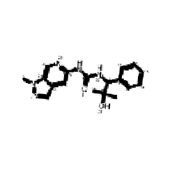 Cn1ncc2cc(NC(=O)NC(c3ccccc3)C(C)(C)O)ncc21